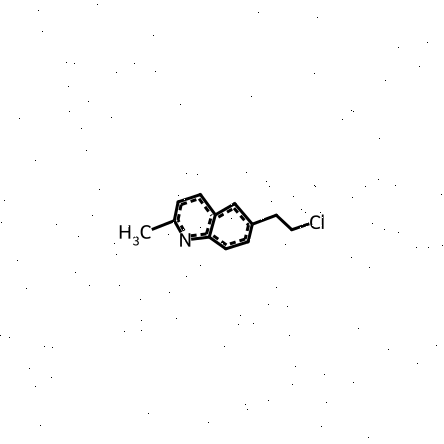 Cc1ccc2cc(CCCl)ccc2n1